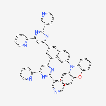 c1ccc(-c2cc(-c3cc(-c4cc(-c5ccccn5)nc(-c5cccnc5)n4)c4cc(N5c6ccccc6Oc6ccccc65)ccc4c3)nc(-c3cccnc3)n2)nc1